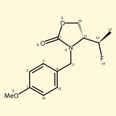 COc1ccc(CN2C(=O)OC[C@@H]2[C@@H](C)F)cc1